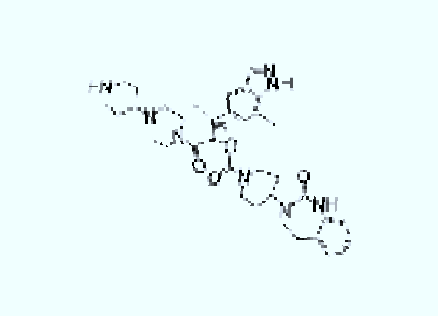 Cc1cc([C@@H](C)C(OC(=O)N2CCC(N3CCc4ccccc4NC3=O)CC2)C(=O)N2CCN(C3CCNCC3)CC2)cc2cn[nH]c12